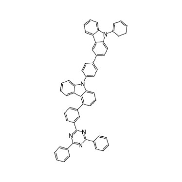 C1=CCCC(n2c3ccccc3c3cc(-c4ccc(-n5c6ccccc6c6c(-c7cccc(-c8nc(-c9ccccc9)nc(-c9ccccc9)n8)c7)cccc65)cc4)ccc32)=C1